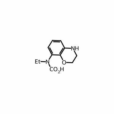 CCN(C(=O)O)c1cccc2c1OCCN2